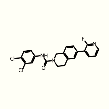 O=C(Nc1ccc(Cl)c(Cl)c1)N1CCc2cc(-c3cccnc3F)ccc2C1